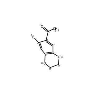 CC(=O)c1cc2c(cc1F)OCCO2